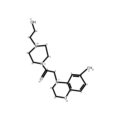 Cc1ccc2c(c1)N(CC(=O)N1CCN(CCO)CC1)CCO2